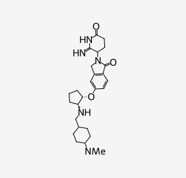 CNC1CCC(CN[C@H]2CCC[C@@H]2Oc2ccc3c(c2)CN(C2CCC(=O)NC2=N)C3=O)CC1